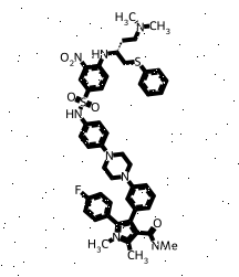 CNC(=O)c1c(-c2cccc(N3CCN(c4ccc(NS(=O)(=O)c5ccc(N[C@H](CCN(C)C)CSc6ccccc6)c([N+](=O)[O-])c5)cc4)CC3)c2)c(-c2ccc(F)cc2)n(C)c1C